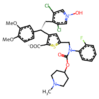 COc1ccc([C@H](Cc2c(Cl)c[n+](O)cc2Cl)c2cc(CN(C(=O)OC3CCN(C)CC3)c3ccccc3F)sc2C(=O)[O-])cc1OC